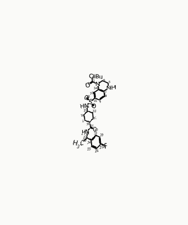 CC(C)COC(=O)N1CCNc2ccc(S(=O)(=O)NC3CCC(C(=O)NC(C)c4ccc(F)cc4)CC3)cc21